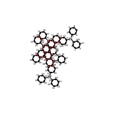 c1ccc(N(c2ccccc2)c2ccc(-c3ccc(N(c4ccccc4)c4ccccc4-c4nc(-c5ccccc5N(c5ccccc5)c5ccc(N(c6ccccc6)c6ccccc6)cc5)nc(-c5ccccc5N(c5ccccc5)c5ccc(N(c6ccccc6)c6ccccc6)cc5)n4)cc3)cc2)cc1